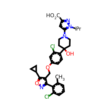 Cc1cccc(Cl)c1-c1noc(C2CC2)c1COc1ccc(C2(O)CCN(c3cc(C(=O)O)nn3C(C)C)CC2)c(Cl)c1